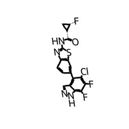 O=C(Nc1nc2ccc(-c3c(Cl)c(F)c(F)c4[nH]ncc34)cc2s1)[C@@H]1C[C@@H]1F